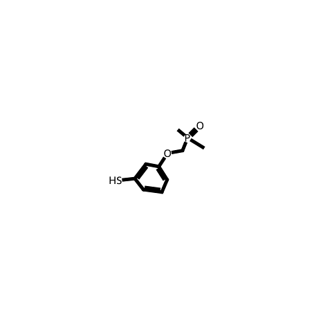 CP(C)(=O)COc1cccc(S)c1